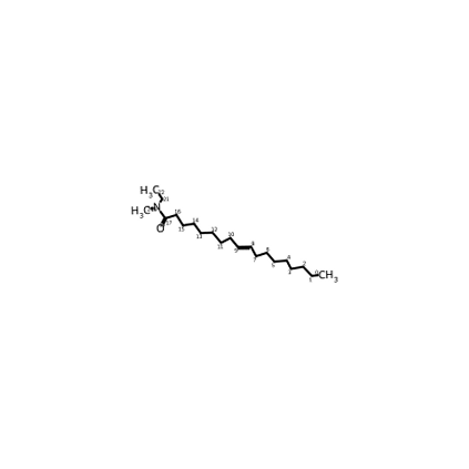 CCCCCCCCC=CCCCCCCCC(=O)N(C)CC